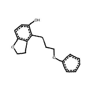 Oc1ccc2c(c1CCCOc1ccccc1)CCO2